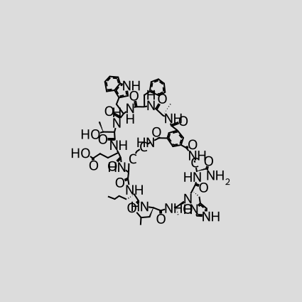 CCCC[C@@H]1NC(=O)C2CCCCNC(=O)c3cc(cc(c3)C(=O)N[C@@H](C)C(=O)NC(Cc3ccccc3)C(=O)NC(Cc3c[nH]c4ccccc34)C(=O)NC([C@H](C)O)C(=O)NC(CCC(=O)O)C(=O)N2)C(=O)NC[C@@H](C(N)=O)NC(=O)[C@H](Cc2c[nH]cn2)NC(=O)[C@H](C)NC(=O)[C@@H](CC(C)C)NC1=O